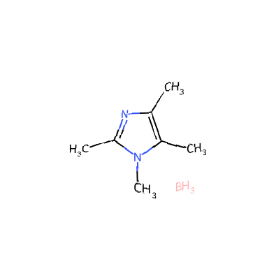 B.Cc1nc(C)n(C)c1C